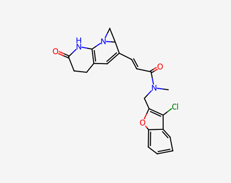 CN(Cc1oc2ccccc2c1Cl)C(=O)/C=C/C1=CC2=C(NC(=O)CC2)N2CC12